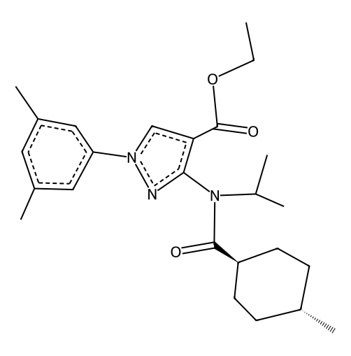 CCOC(=O)c1cn(-c2cc(C)cc(C)c2)nc1N(C(=O)[C@H]1CC[C@H](C)CC1)C(C)C